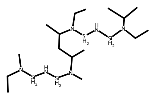 CCN(C)[SiH2]N[SiH2]N(C)C(C)CC(C)N(CC)[SiH2]N[SiH2]N(CC)C(C)C